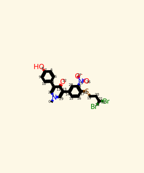 Cn1cc(-c2ccc(O)cc2)c(=O)c(-c2ccc(SCCC(Br)Br)c([N+](=O)[O-])c2)c1